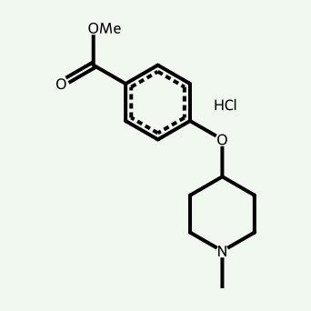 COC(=O)c1ccc(OC2CCN(C)CC2)cc1.Cl